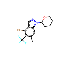 Cc1cc2c(cnn2C2CCCCO2)c(Br)c1C(F)(F)F